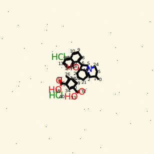 CC1CCN(CC(c2cccc3ccccc23)C2(O)CCCCC2)CC1.Cc1ccc(C(=O)O)cc1C(=O)O.Cl.Cl